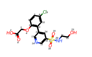 O=C(O)COc1ccc(Cl)cc1-c1cncc(S(=O)(=O)NCCO)c1